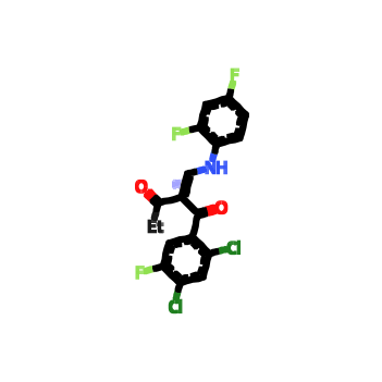 CCC(=O)/C(=C/Nc1ccc(F)cc1F)C(=O)c1cc(F)c(Cl)cc1Cl